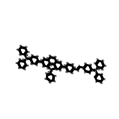 C(=C\c1ccc(N(c2ccccc2)c2ccccc2)cc1)/c1ccc(-c2cc3ccc4cc(-c5ccc(N(c6ccccc6)c6ccccc6)cc5)cc5c4c3c(c2)n5-c2ccccc2)cc1